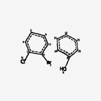 Clc1ccccc1Br.Oc1ccccc1